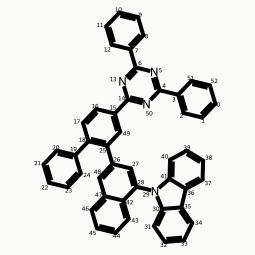 c1ccc(-c2nc(-c3ccccc3)nc(-c3ccc(-c4ccccc4)c(-c4cc(-n5c6ccccc6c6ccccc65)c5ccccc5c4)c3)n2)cc1